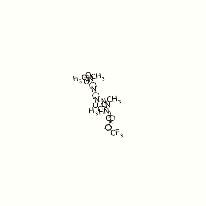 Cc1nc(NCC2CC[C@H](c3cccc(C(F)(F)F)c3)O2)c(C)c(C(=O)N2CCC(N3CCC(N(C)S(C)(=O)=O)CC3)CC2)n1